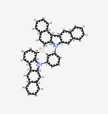 c1cc2c3c(c1)-n1c4cc5ccccc5cc4c4c5ccccc5cc(c41)B3c1cccc3c4cc5ccccc5cc4n-2c13